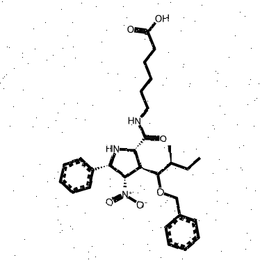 CC[C@H](C)C(OCc1ccccc1)[C@H]1[C@H]([N+](=O)[O-])[C@H](c2ccccc2)N[C@@H]1C(=O)NCCCCCC(=O)O